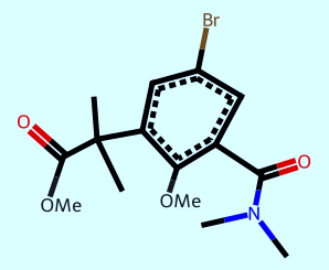 COC(=O)C(C)(C)c1cc(Br)cc(C(=O)N(C)C)c1OC